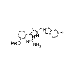 COc1cccc2c1nc(N)n1nc(Cn3cc4ccc(F)cc4c3)nc21